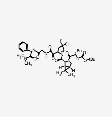 CN(C)C(=O)C(NC(=O)CNC(=O)C(=O)C(CC(C)(F)F)NC(=O)[C@@H]1[C@@H]2[C@H](CN1C(=O)[C@@H](NC(=O)OC(C)(C)C)C(C)(C)C)C2(C)C)c1ccccc1